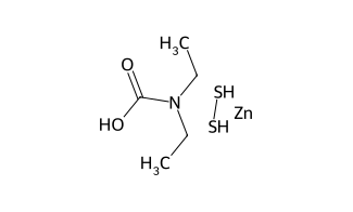 CCN(CC)C(=O)O.SS.[Zn]